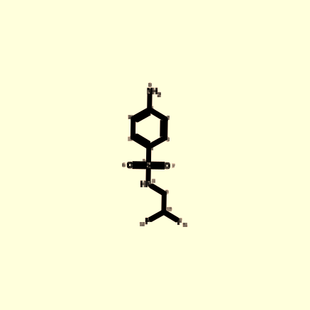 Nc1ccc(S(=O)(=O)NCC(F)F)cc1